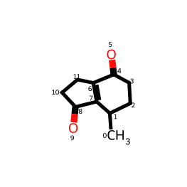 CC1CCC(=O)C2=C1C(=O)CC2